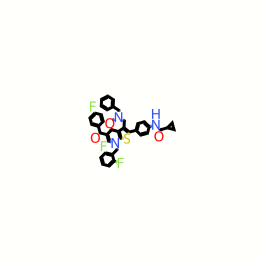 CN(Cc1ccccc1)Cc1c(-c2ccc(NC(=O)C3CC3)cc2)sc2c1c(=O)c(C(=O)c1ccc(F)cc1)cn2Cc1c(F)cccc1F